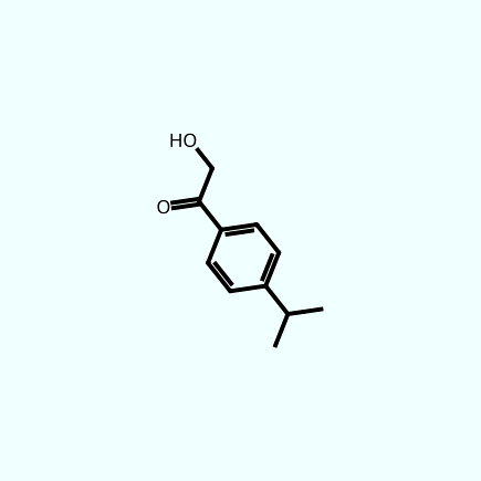 CC(C)c1ccc(C(=O)CO)cc1